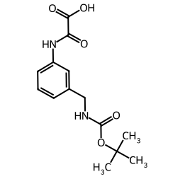 CC(C)(C)OC(=O)NCc1cccc(NC(=O)C(=O)O)c1